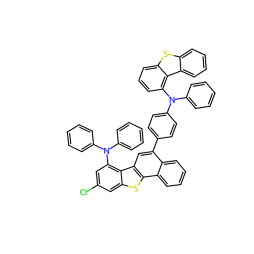 Clc1cc(N(c2ccccc2)c2ccccc2)c2c(c1)sc1c3ccccc3c(-c3ccc(N(c4ccccc4)c4cccc5sc6ccccc6c45)cc3)cc12